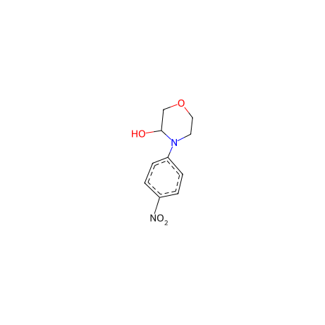 O=[N+]([O-])c1ccc(N2CCOCC2O)cc1